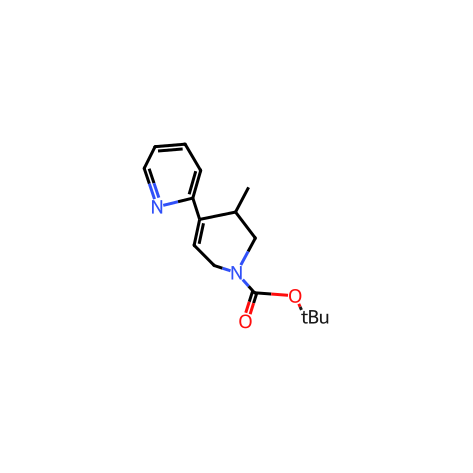 CC1CN(C(=O)OC(C)(C)C)CC=C1c1ccccn1